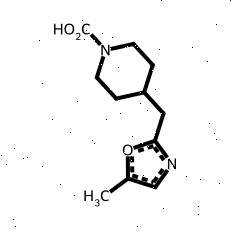 Cc1cnc(CC2CCN(C(=O)O)CC2)o1